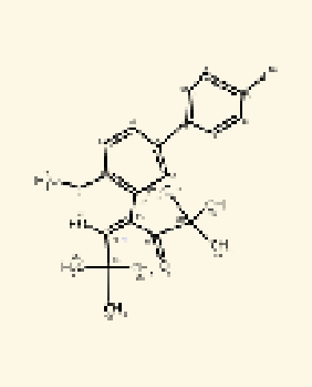 CCc1ccc(-c2ccc(I)cc2)cc1/C(C(=O)C(C)(C)O)=C(\O)C(C)(C)C